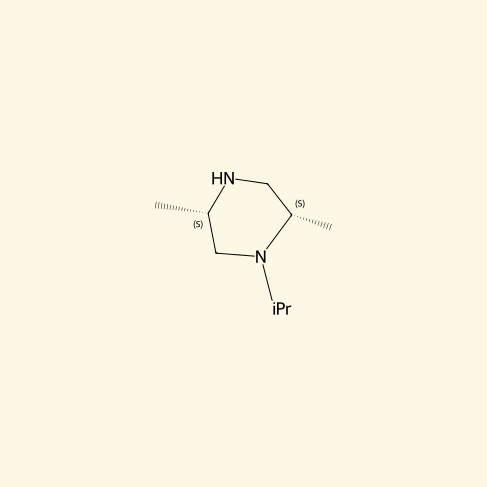 CC(C)N1C[C@H](C)NC[C@@H]1C